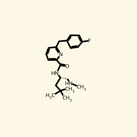 CNC[C@H](CC(C)(C)C)NC(=O)c1cccc(Cc2ccc(F)cc2)n1